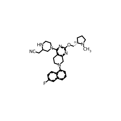 CN1CCC[C@H]1COc1nc2c(c(N3CCNC(CC#N)C3)n1)CCN(c1cccc3cc(F)ccc13)C2